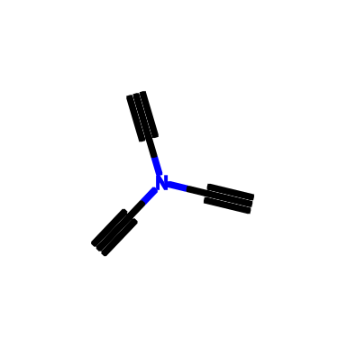 C#CN(C#C)C#C